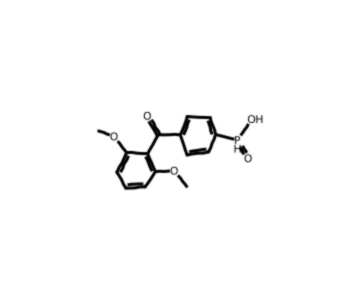 COc1cccc(OC)c1C(=O)c1ccc([PH](=O)O)cc1